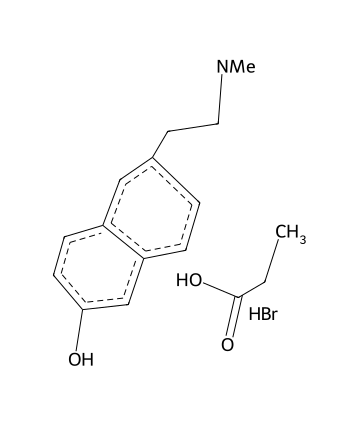 Br.CCC(=O)O.CNCCc1ccc2cc(O)ccc2c1